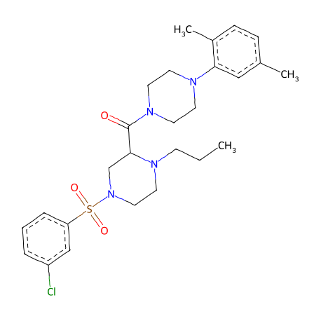 CCCN1CCN(S(=O)(=O)c2cccc(Cl)c2)CC1C(=O)N1CCN(c2cc(C)ccc2C)CC1